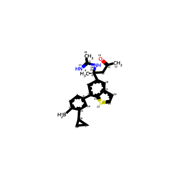 Bc1ccc(-c2cc([C@](C)(CC(C)=O)NC(C)=N)cc3ccsc23)cc1C1CC1